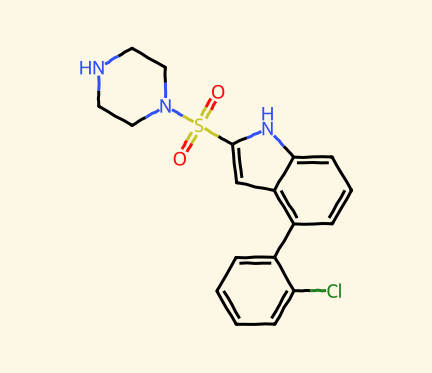 O=S(=O)(c1cc2c(-c3ccccc3Cl)cccc2[nH]1)N1CCNCC1